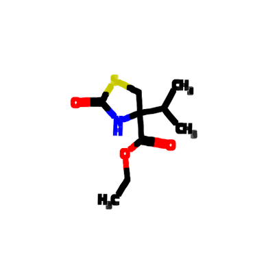 CCOC(=O)C1(C(C)C)CSC(=O)N1